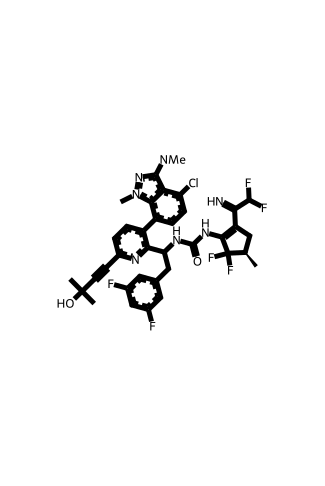 CNc1nn(C)c2c(-c3ccc(C#CC(C)(C)O)nc3C(Cc3cc(F)cc(F)c3)NC(=O)NC3=C(C(=N)C(F)F)C[C@@H](C)C3(F)F)ccc(Cl)c12